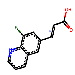 O=C(O)/C=C/c1cc(F)c2ncccc2c1